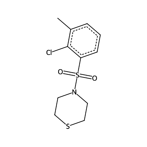 Cc1cccc(S(=O)(=O)N2CCSCC2)c1Cl